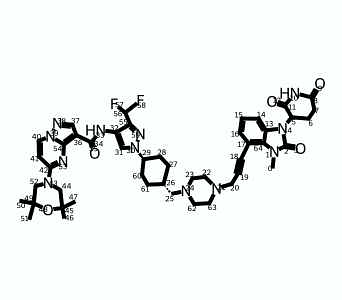 Cn1c(=O)n(C2CCC(=O)NC2=O)c2cccc(C#CCN3CCN(C[C@H]4CC[C@H](n5cc(NC(=O)c6cnn7ccc(N8CC(C)(C)OC(C)(C)C8)nc67)c(C(F)F)n5)CC4)CC3)c21